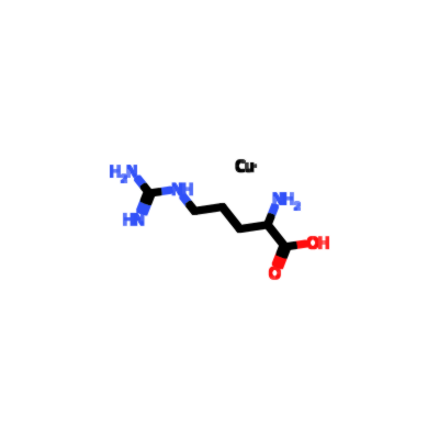 N=C(N)NCCCC(N)C(=O)O.[Cu]